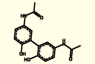 CC(=O)Nc1ccc(O)c(-c2cc(NC(C)=O)ccc2O)c1